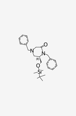 CC(C)(C)[Si](C)(C)OC[C@H]1CN(Cc2ccccc2)CC(=O)N1Cc1ccccc1